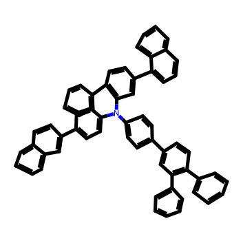 c1ccc(-c2ccc(-c3ccc(N(c4ccc(-c5ccc6ccccc6c5)cc4)c4cc(-c5cccc6ccccc56)ccc4-c4ccccc4)cc3)cc2-c2ccccc2)cc1